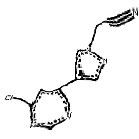 N#CCn1cc(-c2cc(Cl)ncn2)cn1